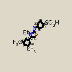 CCn1c(-c2cc(C(F)(F)F)cc(C(F)(F)F)c2)csc1=Nc1ccc(S(=O)(=O)O)cc1